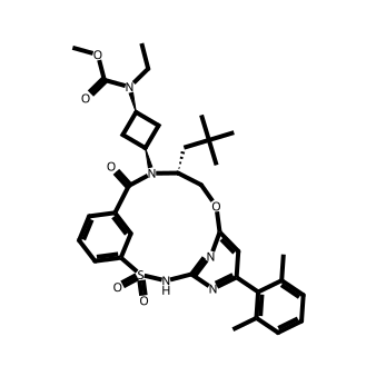 CCN(C(=O)OC)[C@H]1C[C@@H](N2C(=O)c3cccc(c3)S(=O)(=O)Nc3nc(cc(-c4c(C)cccc4C)n3)OC[C@H]2CC(C)(C)C)C1